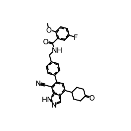 COc1ccc(F)cc1C(=O)NCc1ccc(-c2cc(C3CCC(=O)CC3)c3cn[nH]c3c2C#N)cc1